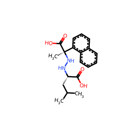 CC(C)C[C@H](NN[C@@](C)(C(=O)O)c1cccc2ccccc12)C(=O)O